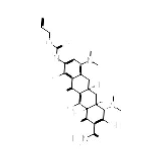 C=CCOC(=O)Nc1cc(N(C)C)c2c(c1O)C(=O)C1=C(O)[C@@]3(O)C(=O)C(C(N)=O)=C(O)[C@H](N(C)C)[C@H]3C[C@H]1C2